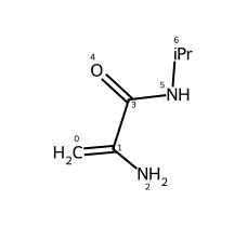 C=C(N)C(=O)NC(C)C